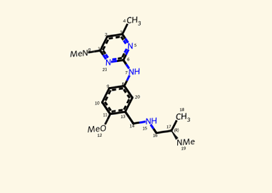 CNc1cc(C)nc(Nc2ccc(OC)c(CNC[C@@H](C)NC)c2)n1